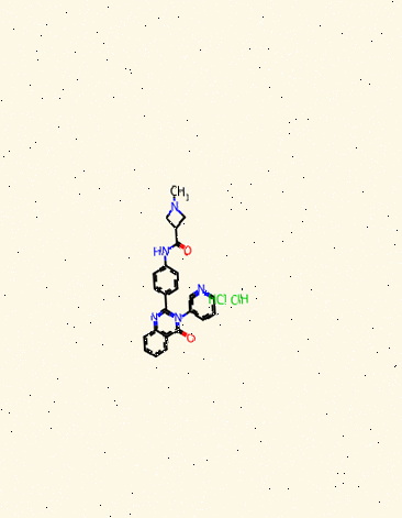 CN1CC(C(=O)Nc2ccc(-c3nc4ccccc4c(=O)n3-c3cccnc3)cc2)C1.Cl.Cl